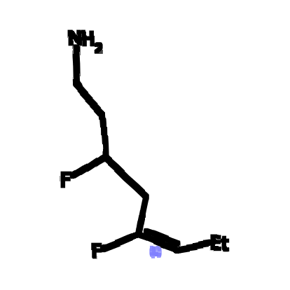 CC/C=C(/F)CC(F)CCN